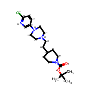 CC(C)(C)OC(=O)N1CCC(CCN2CCN(c3ccc(Cl)nc3)CC2)CC1